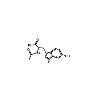 CC(=O)NC(Cc1c[nH]c2cc(O)ccc12)C(=O)O